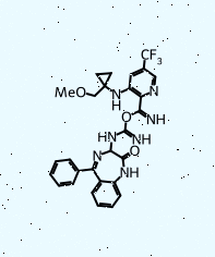 COCC1(Nc2cc(C(F)(F)F)cnc2C(=N)OC(=N)NC2N=C(c3ccccc3)c3ccccc3NC2=O)CC1